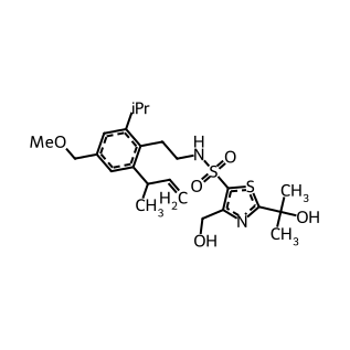 C=CC(C)c1cc(COC)cc(C(C)C)c1CCNS(=O)(=O)c1sc(C(C)(C)O)nc1CO